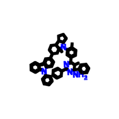 Cc1ccc(C2=NC(C3C=CC=CC3)=NC(N)(c3ccccc3)C2C)cc1N1C2CCCC2C2CCC(c3ccc4c(c3)c3ccccc3n4-c3ccccc3)CC21C